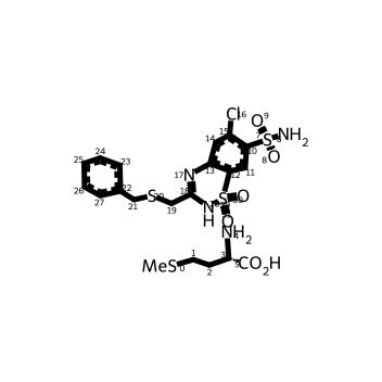 CSCC[C@H](N)C(=O)O.NS(=O)(=O)c1cc2c(cc1Cl)N=C(CSCc1ccccc1)NS2(=O)=O